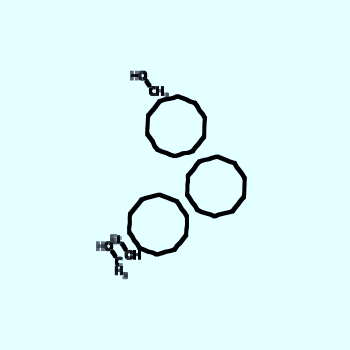 C1CCCCCCCCC1.C1CCCCCCCCC1.C1CCCCCCCCC1.CCO.CO.CO